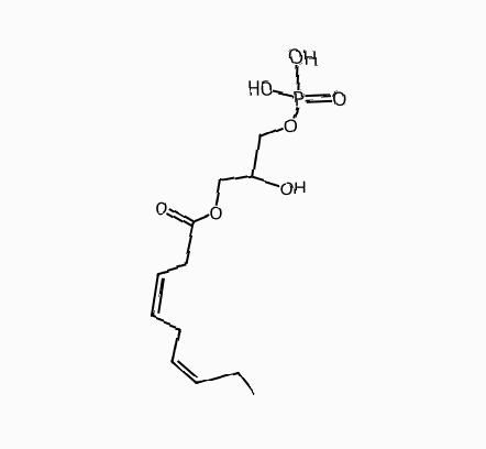 CC/C=C\C/C=C\CC(=O)OCC(O)COP(=O)(O)O